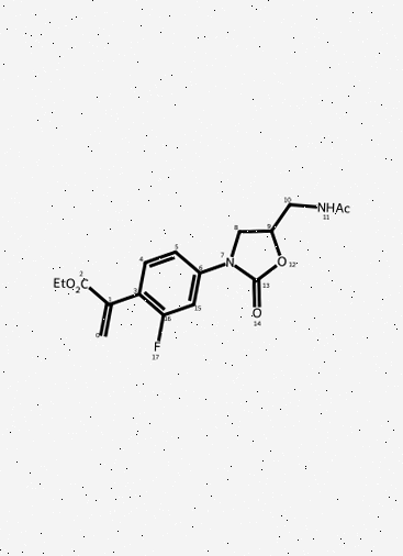 C=C(C(=O)OCC)c1ccc(N2CC(CNC(C)=O)OC2=O)cc1F